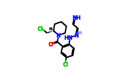 N=C/C=N\Nc1ccc(Cl)cc1C(=O)N1CCCC[C@H]1CCl